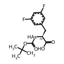 CC(C)(C)OC(=O)[AsH][C@@H](Cc1cc(F)cc(F)c1)C(=O)O